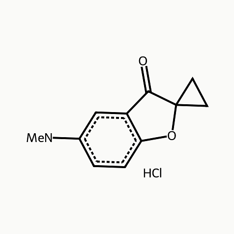 CNc1ccc2c(c1)C(=O)C1(CC1)O2.Cl